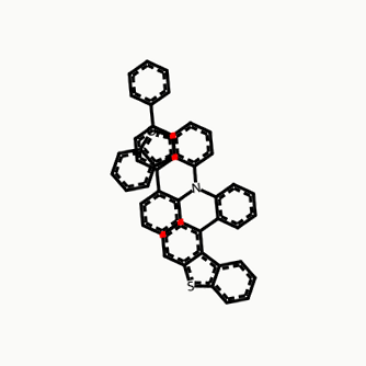 c1ccc(-c2ccc(-c3ccccc3N(c3ccccc3-c3cccc4sc5ccccc5c34)c3cccc4oc5ccccc5c34)cc2)cc1